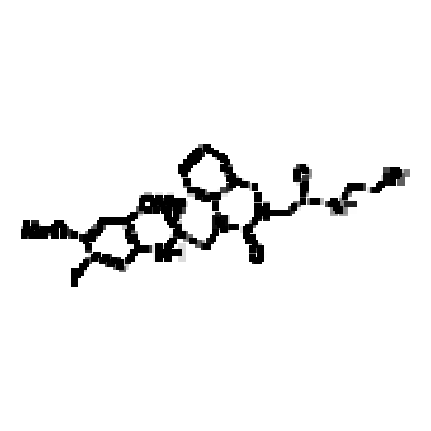 COc1cc(OC)c(NC(=O)CN2C(=O)N(CC(=O)NCCC(C)C)Cc3ccccc32)cc1I